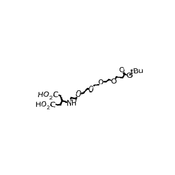 CC(C)(C)OC(=O)CCOCCOCCOCCOCCNC(CC(=O)O)CC(=O)O